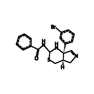 O=C(NC1N[C@@]2(c3cccc(Br)c3)C=NC[C@H]2CS1)c1ccccc1